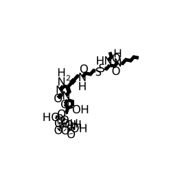 CCCCCNC(=O)C(CSSCCC(=O)NCC#Cc1cn(C2CC(O)C(COP(=O)(O)OP(=O)(O)OP(=O)(O)O)O2)c(=O)nc1N)NC(C)=O